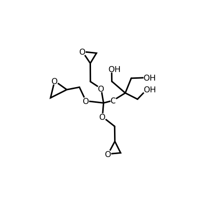 OCC(CO)(CO)CC(OCC1CO1)(OCC1CO1)OCC1CO1